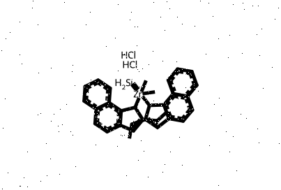 CCC1=Cc2ccc3ccccc3c2[CH]1[Zr]([CH3])([CH3])(=[SiH2])[CH]1C(CC)=Cc2ccc3ccccc3c21.Cl.Cl